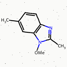 COn1c(C)nc2ccc(C)cc21